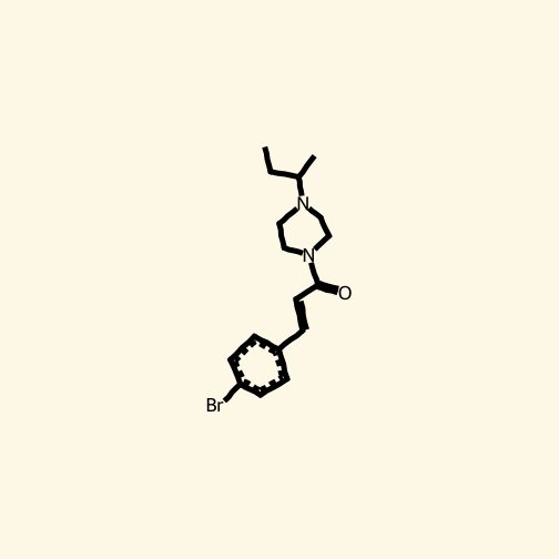 CCC(C)N1CCN(C(=O)/C=C/c2ccc(Br)cc2)CC1